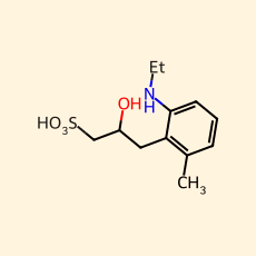 CCNc1cccc(C)c1CC(O)CS(=O)(=O)O